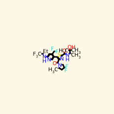 CC[C@H](Nc1cc(C(F)F)c(-c2sc(C(=O)N[C@@H](C)C(C)(C)O)nc2C(=O)N2CC(F)(F)C[C@@H]2C)cn1)C(F)(F)F